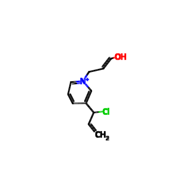 C=CC(Cl)c1ccc[n+](CC=CO)c1